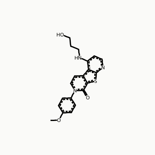 COc1ccc(-n2ccc3c(sc4nccc(NCCCO)c43)c2=O)cc1